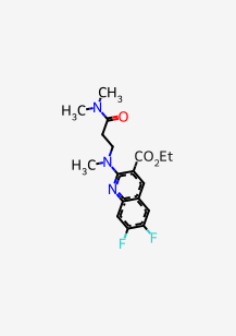 CCOC(=O)c1cc2cc(F)c(F)cc2nc1N(C)CCC(=O)N(C)C